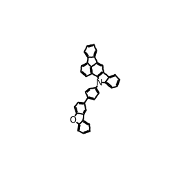 c1ccc2c(c1)-c1cccc3c1c-2cc1c2ccccc2n(-c2ccc(-c4ccc5oc6ccccc6c5c4)cc2)c31